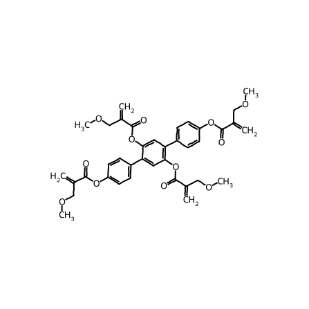 C=C(COC)C(=O)Oc1ccc(-c2cc(OC(=O)C(=C)COC)c(-c3ccc(OC(=O)C(=C)COC)cc3)cc2OC(=O)C(=C)COC)cc1